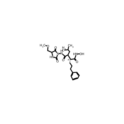 COCC1NC(=O)N(NC(=O)C(CC(C)C)[C@@H](CCCc2ccccc2)C(=O)NO)C1=O